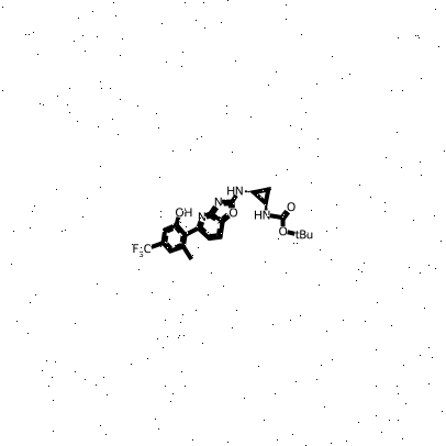 Cc1cc(C(F)(F)F)cc(O)c1-c1ccc2oc(N[C@@H]3C[C@H]3NC(=O)OC(C)(C)C)nc2n1